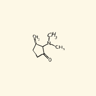 C=C1CCC(=O)C1N(C)C